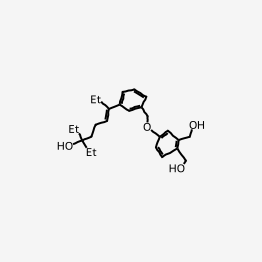 CCC(=CCCC(O)(CC)CC)c1cccc(COc2ccc(CO)c(CO)c2)c1